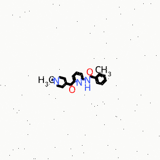 Cc1ccccc1C(=O)Nc1cccc(C(=O)C2CCN(C)CC2)n1